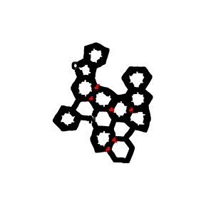 c1cc(-c2cccc3ccccc23)cc(N(c2ccccc2-c2ccc3c(c2)oc2ccccc23)c2ccccc2-c2cccc3cccc(C4CCCCC4)c23)c1